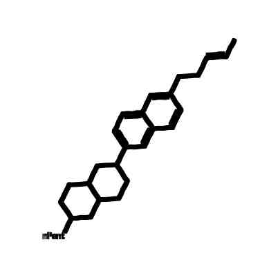 CC=CCCc1ccc2cc(C3CCC4CC(CCCCC)CCC4C3)ccc2c1